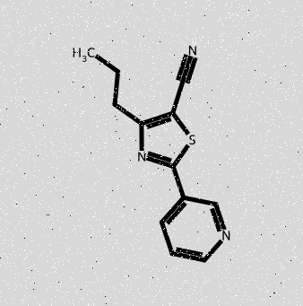 CCCc1nc(-c2cccnc2)sc1C#N